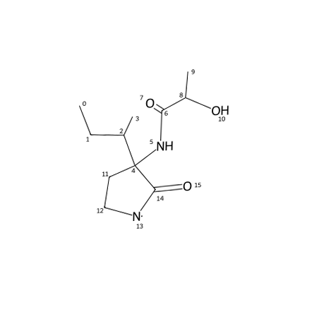 CCC(C)C1(NC(=O)C(C)O)CC[N]C1=O